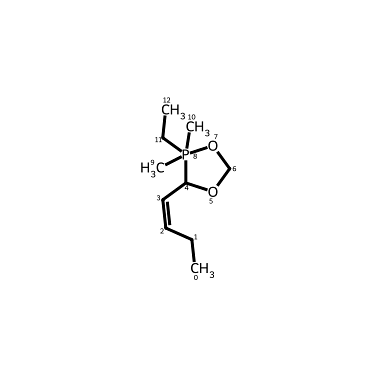 CC/C=C\C1OCOP1(C)(C)CC